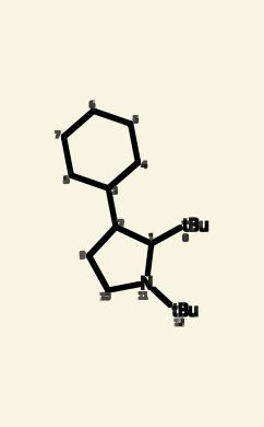 CC(C)(C)C1C(C2CCCCC2)CCN1C(C)(C)C